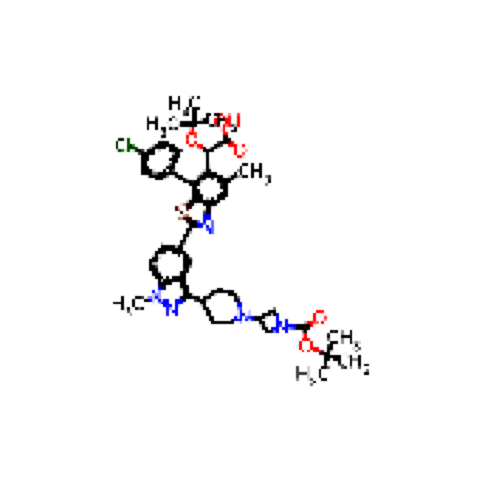 Cc1cc2nc(-c3ccc4c(c3)c(C3CCN(C5CN(C(=O)OC(C)(C)C)C5)CC3)nn4C)sc2c(-c2ccc(Cl)cc2)c1C(OC(C)(C)C)C(=O)O